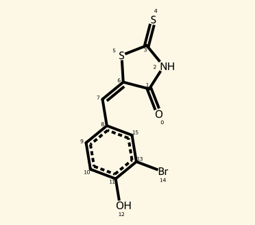 O=C1NC(=S)SC1=Cc1ccc(O)c(Br)c1